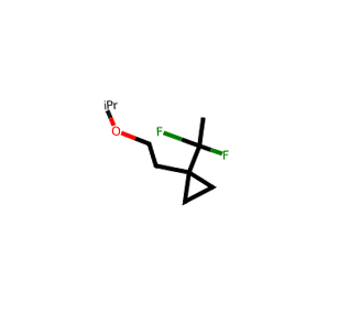 CC(C)OCCC1(C(C)(F)F)CC1